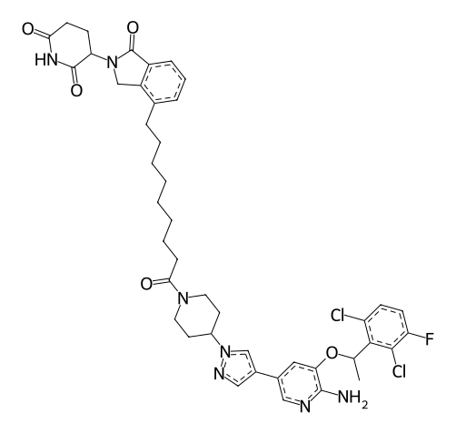 CC(Oc1cc(-c2cnn(C3CCN(C(=O)CCCCCCCCc4cccc5c4CN(C4CCC(=O)NC4=O)C5=O)CC3)c2)cnc1N)c1c(Cl)ccc(F)c1Cl